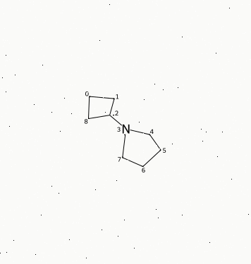 C1C[C](N2CCCC2)C1